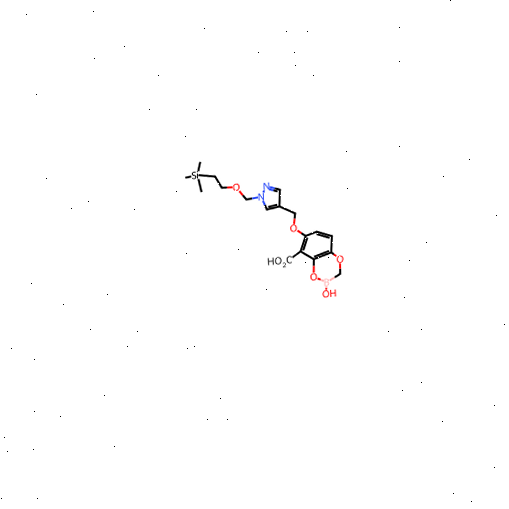 C[Si](C)(C)CCOCn1cc(COc2ccc3c(c2C(=O)O)OB(O)CO3)cn1